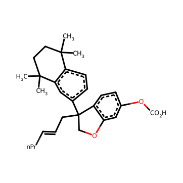 CCCC=CCC1(c2ccc3c(c2)C(C)(C)CCC3(C)C)COc2cc(OC(=O)O)ccc21